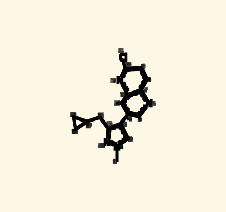 Cn1cc(-c2cnc3ccc(Cl)nc3c2)c(CC2CC2)n1